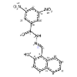 O=C(N/N=C/c1c(O)ccc2ccccc12)c1nc([N+](=O)[O-])cc([N+](=O)[O-])n1